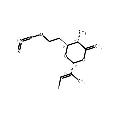 C=C1O[C@H](/C(C)=C/I)O[C@H](CCOB=[PH]=S)[C@@H]1C